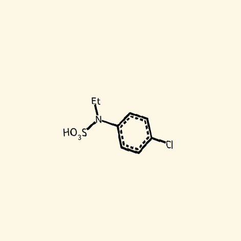 CCN(c1ccc(Cl)cc1)S(=O)(=O)O